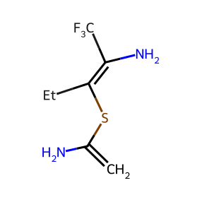 C=C(N)S/C(CC)=C(\N)C(F)(F)F